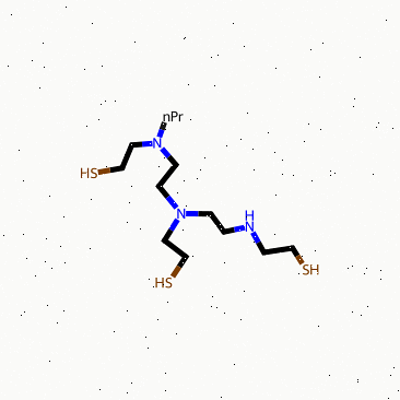 CCCN(CCS)CCN(CCS)CCNCCS